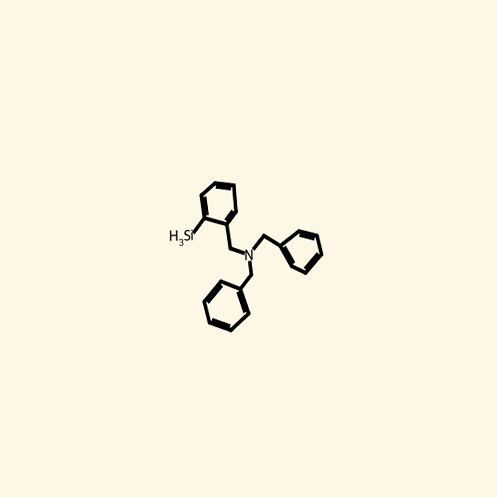 [SiH3]c1ccccc1CN(Cc1ccccc1)Cc1ccccc1